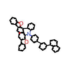 c1cc(-c2ccc(N(c3ccccc3-c3cccc4c3oc3ccccc34)c3cccc4c3oc3ccccc34)cc2)cc(-c2cccc3ccccc23)c1